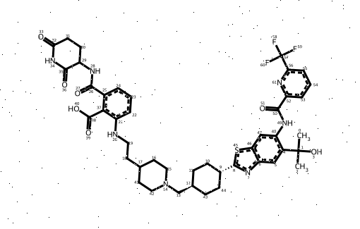 CC(C)(O)c1cc2nc([C@H]3CC[C@H](CN4CCC(CCNc5cccc(C(=O)NC6CCC(=O)NC6=O)c5C(=O)O)CC4)CC3)sc2cc1NC(=O)c1cccc(C(F)(F)F)n1